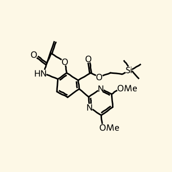 C=C1Oc2c(ccc(-c3nc(OC)cc(OC)n3)c2C(=O)OCC[Si](C)(C)C)NC1=O